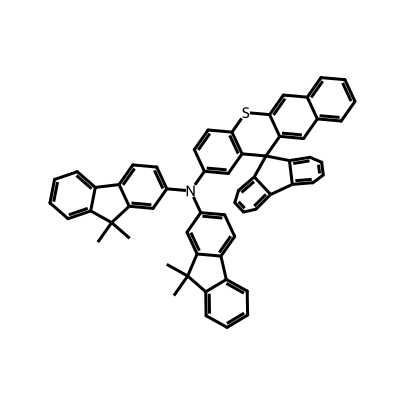 CC1(C)c2ccccc2-c2ccc(N(c3ccc4c(c3)C(C)(C)c3ccccc3-4)c3ccc4c(c3)C3(c5cc6ccccc6cc5S4)c4ccccc4-c4ccccc43)cc21